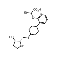 CCC(Oc1ncccc1C1CCC(OC[C@@H]2NCC[C@H]2O)CC1)C(=O)O